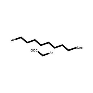 CC(=O)CC(=O)[O-].CCCCCCCCCCCCCCCCC[CH2][Al+]